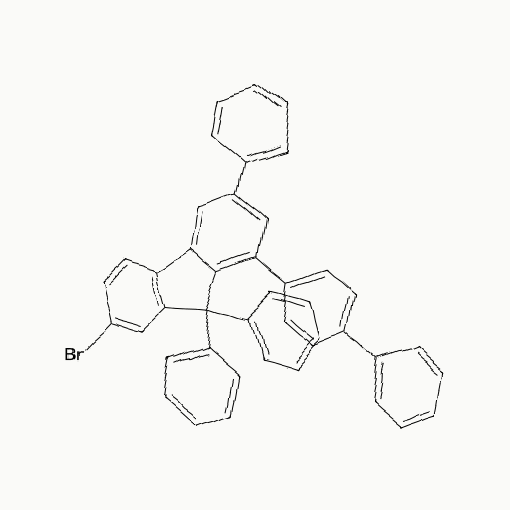 Brc1ccc2c(c1)C(c1ccccc1)(c1ccccc1)c1c(-c3ccc(-c4ccccc4)cc3)cc(-c3ccccc3)cc1-2